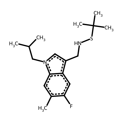 Cc1cc2c(cc1F)c(CNSC(C)(C)C)cn2CC(C)C